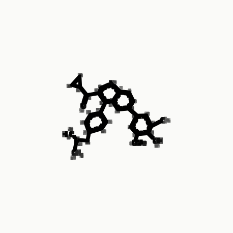 COc1cc(-c2ccc3ncc(C(=O)C4CC4)c(-c4ccc(CN(C)C)cc4)c3c2)cc(Cl)c1O